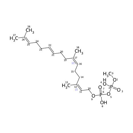 COP(=O)(O)OP(=O)(O)OC/C=C(/C)CC/C=C(/C)CCC=CCCC=C(C)C